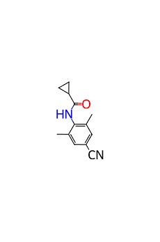 Cc1cc(C#N)cc(C)c1NC(=O)C1CC1